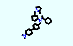 C=C1CCCN1Cc1cccc(N(Cc2ccc(-c3ccc(N(C)C)cc3)cc2)C(=C)C2CCCCC2)c1